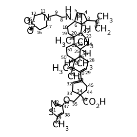 C=C(C)C1CC[C@]2(NCCN3CCS(=O)(=O)CC3)CC[C@]3(C)[C@H](CC[C@@H]4[C@@]5(C)CC=C(C6=CCC(COc7cc(C)sn7)(C(=O)O)CC6)C(C)(C)[C@@H]5CC[C@]43C)[C@@H]12